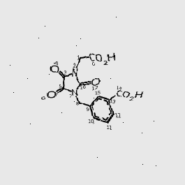 O=C(O)CN1C(=O)C(=O)N(Cc2cccc(C(=O)O)c2)C1=O